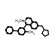 Cc1ccc(-c2ccccc2)cc1-c1c2ccc(CC3CCCC3)cc2cc[n+]1C